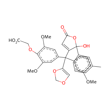 COc1ccc(C2(O)OC(=O)C=C2C(C2=COCO2)(c2ccc(C)cc2)c2cc(OC)c(OCC(=O)O)c(OC)c2)cc1